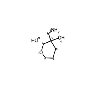 Cl.NCC1(O)CCCOC1